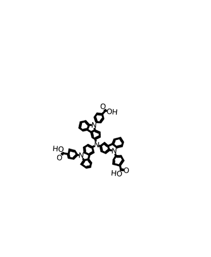 O=C(O)c1ccc(-n2c3ccccc3c3cc(N(c4ccc5c(c4)c4ccccc4n5-c4ccc(C(=O)O)cc4)c4ccc5c(c4)c4ccccc4n5-c4ccc(C(=O)O)cc4)ccc32)cc1